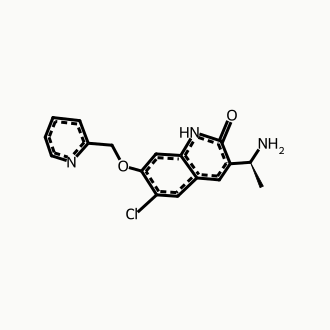 C[C@H](N)c1cc2cc(Cl)c(OCc3ccccn3)cc2[nH]c1=O